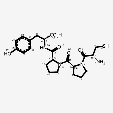 N[C@@H](CS)C(=O)N1CCC[C@H]1C(=O)N1CCC[C@H]1C(=O)N[C@@H](Cc1ccc(O)cc1)C(=O)O